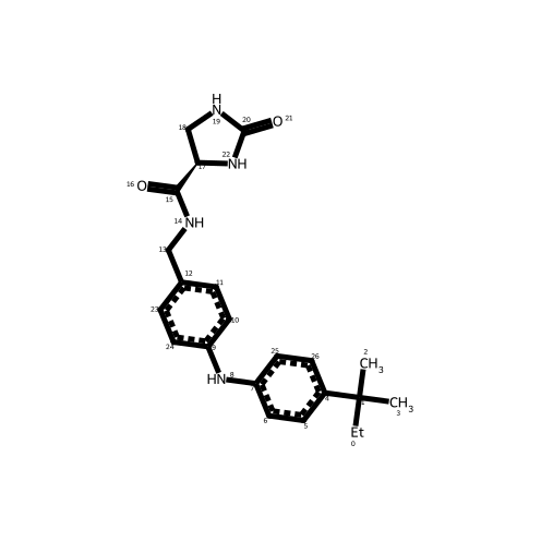 CCC(C)(C)c1ccc(Nc2ccc(CNC(=O)[C@H]3CNC(=O)N3)cc2)cc1